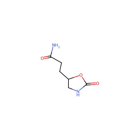 NC(=O)CCC1CNC(=O)O1